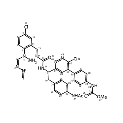 C=N/N=C\N(N)c1ccc(Cl)cc1/C=C/C(=O)N[C@@H](Cc1ccc(NC(C)=O)cc1)c1cc(-c2ccc(NC(=O)OC)cc2)c(Cl)nn1